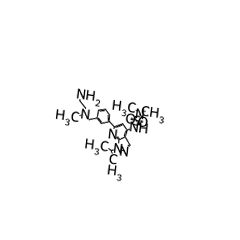 CC(C)n1ncc2c(NS(=O)(=O)N(C)C)cc(-c3cccc(CN(C)CCN)c3)nc21